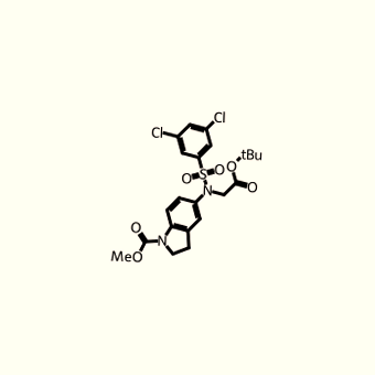 COC(=O)N1CCc2cc(N(CC(=O)OC(C)(C)C)S(=O)(=O)c3cc(Cl)cc(Cl)c3)ccc21